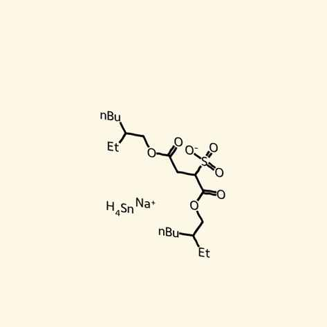 CCCCC(CC)COC(=O)CC(C(=O)OCC(CC)CCCC)S(=O)(=O)[O-].[Na+].[SnH4]